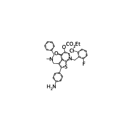 CCOC(=O)Oc1cn(Cc2c(F)cccc2Cl)c2sc(-c3ccc(N)cc3)c(CN(C)Cc3ccccc3)c2c1=O